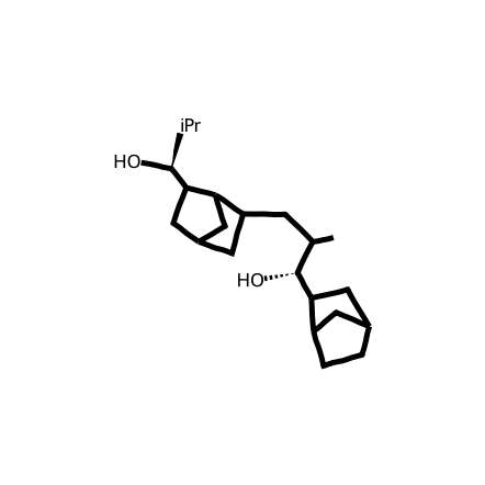 CC(C)[C@H](O)C1CC2CC(CC(C)[C@@H](O)C3CC4CCC3C4)C1C2